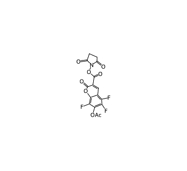 CC(=O)Oc1c(F)c(F)c2cc(C(=O)ON3C(=O)CCC3=O)c(=O)oc2c1F